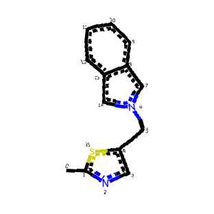 Cc1ncc(Cn2cc3ccccc3c2)s1